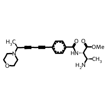 COC(=O)[C@@H](NC(=O)c1ccc(C#CC#C[C@H](C)N2CCOCC2)cc1)[C@@H](C)N